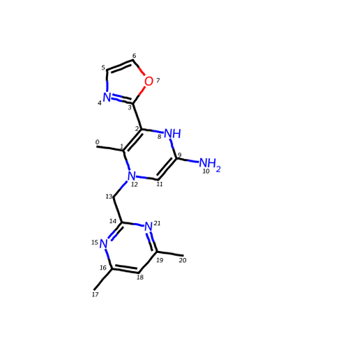 CC1=C(c2ncco2)NC(N)=CN1Cc1nc(C)cc(C)n1